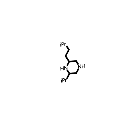 CC(C)CCC1CNCC(C(C)C)N1